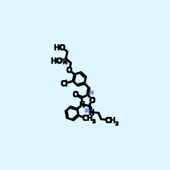 CCC/N=C1\O/C(=C/c2ccc(OC[C@H](O)CO)c(Cl)c2)C(=O)N1c1ccccc1C